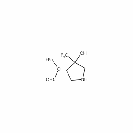 CC(C)(C)OC=O.OC1(C(F)(F)F)CCNC1